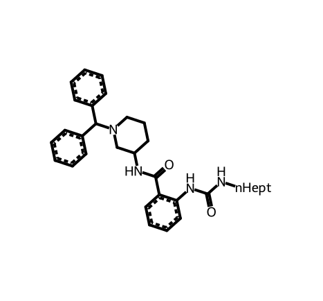 CCCCCCCNC(=O)Nc1ccccc1C(=O)NC1CCCN(C(c2ccccc2)c2ccccc2)C1